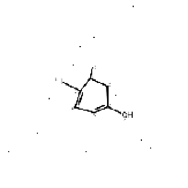 CC1CC(O)=CC=C1I